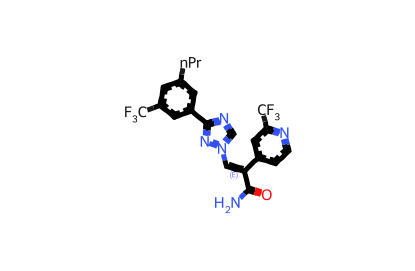 CCCc1cc(-c2ncn(/C=C(/C(N)=O)c3ccnc(C(F)(F)F)c3)n2)cc(C(F)(F)F)c1